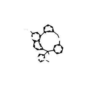 COc1cc2c3cc(ccc3n1)C(N)(c1cncn1C)c1cccc(c1)OCc1cccc-2c1